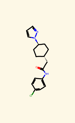 O=C(C[C@H]1CC[C@H](n2cccn2)CC1)Nc1ccc(Cl)cc1